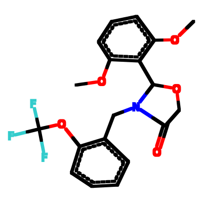 COc1cccc(OC)c1C1OCC(=O)N1Cc1ccccc1OC(F)(F)F